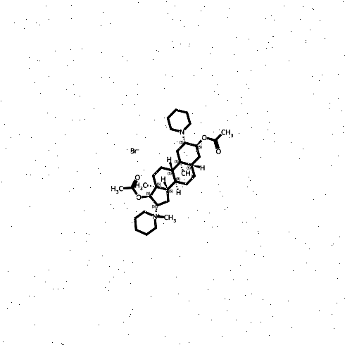 CC(=O)O[C@H]1C[C@@H]2CC[C@@H]3[C@H](CC[C@]4(C)[C@H](OC(C)=O)[C@@H]([N+]5(C)CCCCC5)C[C@@H]34)[C@@]2(C)C[C@@H]1N1CCCCC1.[Br-]